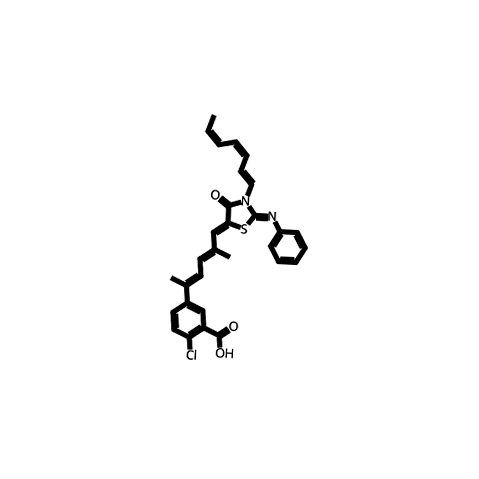 C\C=C/C=C\C=C\N1C(=O)/C(=C/C(C)=C/C=C(\C)c2ccc(Cl)c(C(=O)O)c2)S/C1=N\c1ccccc1